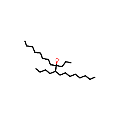 CCCCCCCCC(CCCC)C([O])(CCC)CCCCCCCC